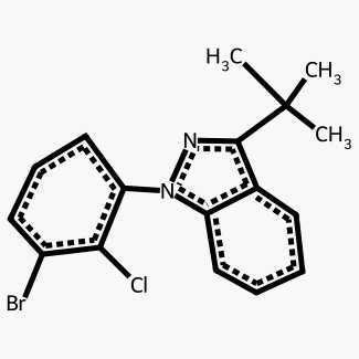 CC(C)(C)c1nn(-c2cccc(Br)c2Cl)c2ccccc12